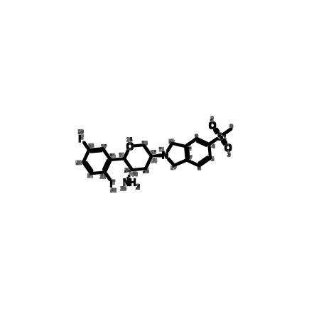 CS(=O)(=O)c1ccc2c(c1)CN([C@@H]1COC(c3cc(F)ccc3F)[C@@H](N)C1)C2